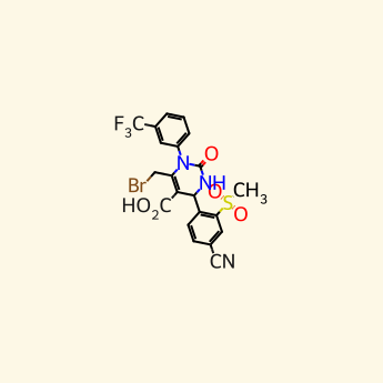 CS(=O)(=O)c1cc(C#N)ccc1C1NC(=O)N(c2cccc(C(F)(F)F)c2)C(CBr)=C1C(=O)O